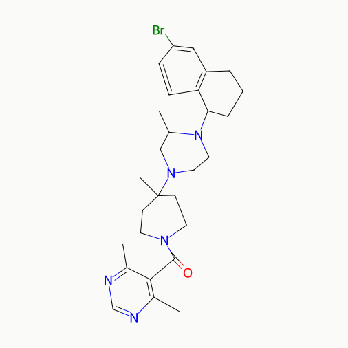 Cc1ncnc(C)c1C(=O)N1CCC(C)(N2CCN(C3CCCc4cc(Br)ccc43)C(C)C2)CC1